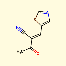 CC(=O)/C(C#N)=C/c1cncs1